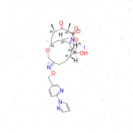 CC(=O)/N=C1\[C@H](C)C[C@]2(C)C[C@@H](C)C(=O)[C@@H](C)C(=O)O[C@H](I)[C@@](C)(O)[C@H](CC/C(=N\OCc3ccc(-n4cccn4)nc3)CO2)[C@H]1C